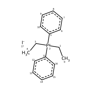 CC[P+](CC)(c1ccccc1)c1ccccc1.[I-]